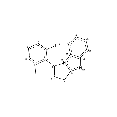 Cc1cccc(F)c1C1SCc2nc3ccccc3n21